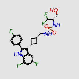 O=S(=O)(NC[C@H]1C[C@H](c2c(-c3ccc(F)cc3)[nH]c3c(F)cc(F)cc32)C1)N[C@@H](CO)C(F)F